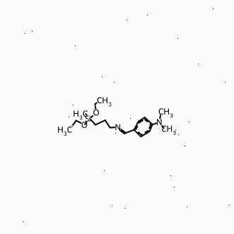 CCO[Si](C)(CCCN=Cc1ccc(N(C)C)cc1)OCC